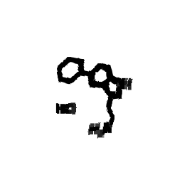 Cl.NCCc1c[nH]c2ccc(C3CCCCC3)cc12